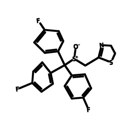 [O-][S+](CC1=NCCS1)C(c1ccc(F)cc1)(c1ccc(F)cc1)c1ccc(F)cc1